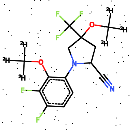 [2H]C([2H])([2H])Oc1c(N2CC(OC([2H])([2H])[2H])(C(F)(F)F)CC2C#N)ccc(F)c1F